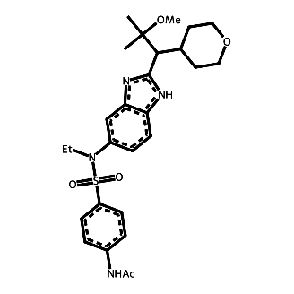 CCN(c1ccc2[nH]c(C(C3CCOCC3)C(C)(C)OC)nc2c1)S(=O)(=O)c1ccc(NC(C)=O)cc1